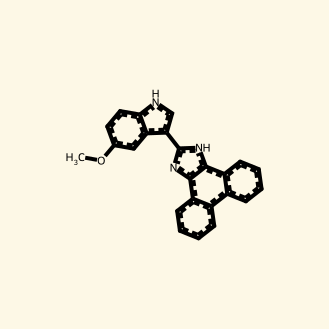 COc1ccc2[nH]cc(-c3nc4c5ccccc5c5ccccc5c4[nH]3)c2c1